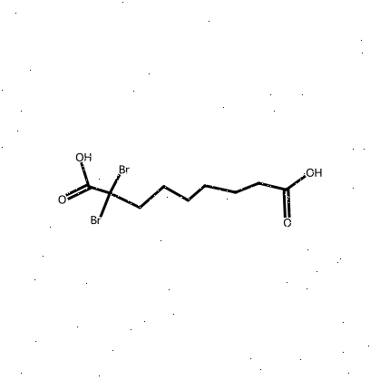 O=C(O)CCCCCCC(Br)(Br)C(=O)O